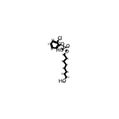 O=P(O)(OCCCCCCCCO)Oc1ccccc1Cl